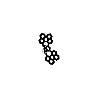 O=[PH]1Cc2ccc3ccccc3c2-c2c(ccc3ccccc23)C1CC1c2ccc3ccccc3c2-c2c(ccc3ccccc23)C[PH]1=O